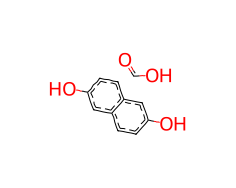 O=CO.Oc1ccc2cc(O)ccc2c1